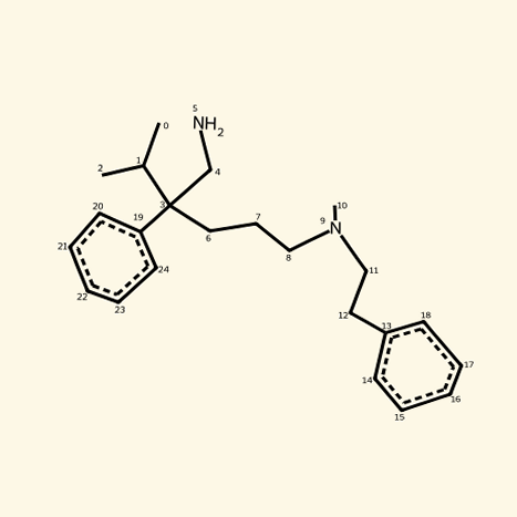 CC(C)C(CN)(CCCN(C)CCc1ccccc1)c1ccccc1